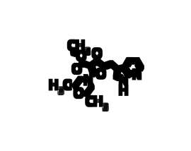 CCOC(=O)C1=C(N2C[C@@H](C)O[C@@H](C)C2)OC(=Cc2c[nH]c3ncccc23)C1=O